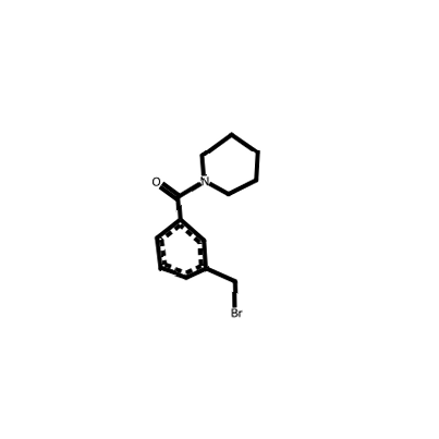 O=C(c1cccc(CBr)c1)N1CCCCC1